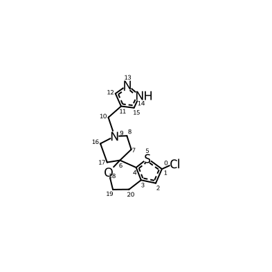 Clc1cc2c(s1)C1(CCN(Cc3cn[nH]c3)CC1)OCC2